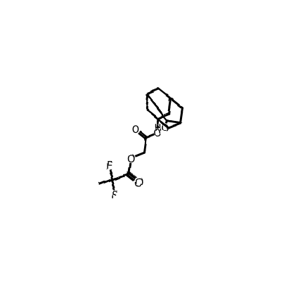 CC(F)(F)C(=O)OCC(=O)OC12CC3CC(C1)C(O)C(C3)C2